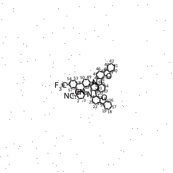 N#Cc1ccc(-n2c3ccccc3c3c4oc5ccccc5c4ccc32)c(-c2cc(-n3c4ccccc4c4c5oc6ccccc6c5ccc43)ccc2-c2ccc(C(F)(F)F)cc2C#N)c1